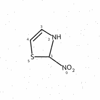 O=[N+]([O-])C1N[C]=CS1